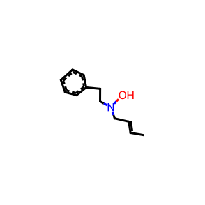 CC=CCN(O)CCc1ccccc1